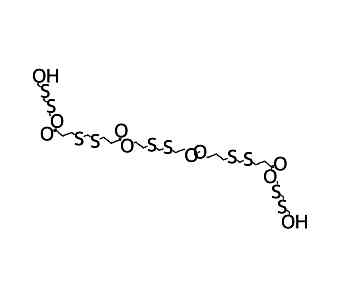 O=C(CCSCSCCC(=O)OCSCSCO)OCCSCSCCOOCCCSCSCCC(=O)OCSCSCO